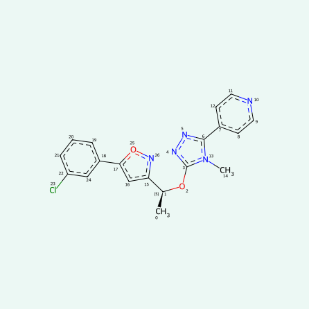 C[C@H](Oc1nnc(-c2ccncc2)n1C)c1cc(-c2cccc(Cl)c2)on1